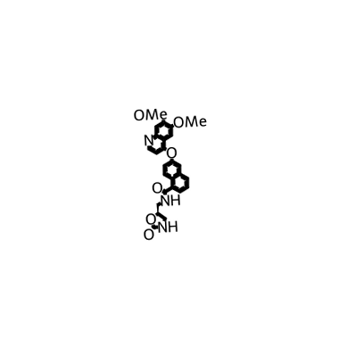 COc1cc2nccc(Oc3ccc4c(C(=O)NC[C@H]5CNC(=O)O5)cccc4c3)c2cc1OC